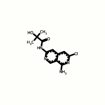 CC(C)(O)C(=O)Nc1cc2cc(Cl)nc(N)c2cn1